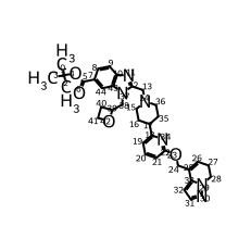 CC(C)(C)OC(=O)c1ccc2nc(CN3CCC(c4cccc(OCC5=CCCn6nccc65)n4)CC3)n(CC3CCO3)c2c1